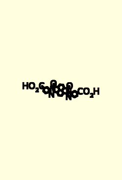 O=C(O)c1ccc2nc3c4ccc5c6c(ccc(c(=O)n3c2c1)c46)c(=O)n1c2cc(C(=O)O)ccc2nc51